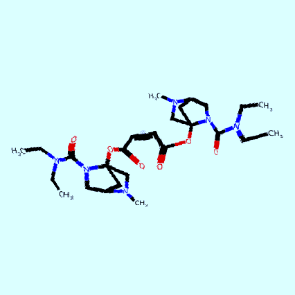 CCN(CC)C(=O)N1CC2CC1(OC(=O)/C=C\C(=O)OC13CC(CN1C(=O)N(CC)CC)N(C)C3)CN2C